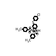 Cc1ccc(S(=O)(=O)Nc2ccc(Sc3ccc(Cl)cc3)cc2NS(=O)(=O)c2ccc(C)cc2)cc1